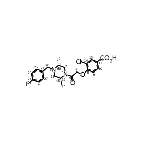 C[C@@H]1CN(C(=O)COc2ccc(C(=O)O)cc2Cl)[C@@H](C)CN1Cc1ccc(F)cc1